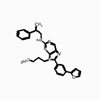 COCCCn1c(-c2cccc(-c3ccco3)c2)nc2cnc(NCC(C)c3ccccc3)nc21